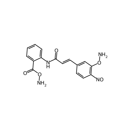 NOC(=O)c1ccccc1NC(=O)/C=C/c1ccc(N=O)c(ON)c1